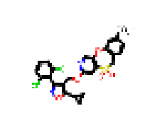 O=C(O)c1ccc2c(c1)Oc1cnc(OCc3c(-c4c(Cl)cccc4Cl)noc3C3CC3)cc1S(=O)(=O)C2